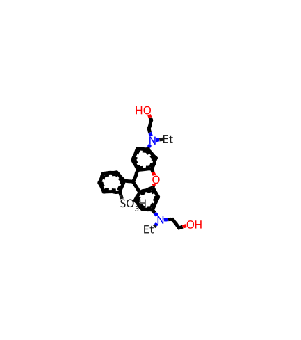 CCN(CCO)c1ccc2c(c1)Oc1cc(N(CC)CCO)ccc1C2c1ccccc1S(=O)(=O)O